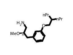 CCCC(CCC)COc1cccc(C[C@H](CN)OC)c1